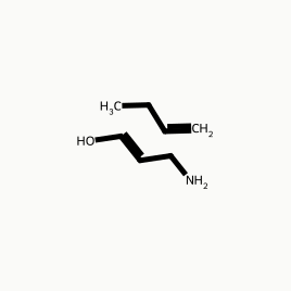 C=CCC.NCC=CO